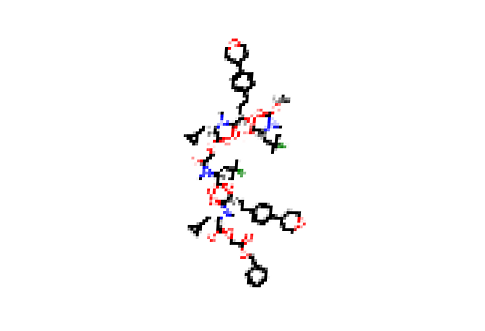 CN(C(=O)COC(=O)[C@H](CC1CC1)N(C)C(=O)[C@@H](CCc1ccc(C2CCOCC2)cc1)OC(=O)[C@H](CC(C)(C)F)N(C)C(=O)OC(C)(C)C)[C@@H](CC(C)(C)F)C(=O)O[C@H](CCc1ccc(C2CCOCC2)cc1)C(=O)N(C)[C@@H](CC1CC1)C(=O)OCC(=O)OCc1ccccc1